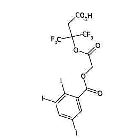 O=C(O)CC(OC(=O)COC(=O)c1cc(I)cc(I)c1I)(C(F)(F)F)C(F)(F)F